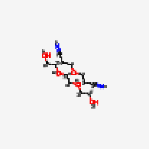 N#CCCOCCC#N.OCCOCCOCCO